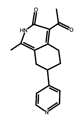 CC(=O)c1c2c(c(C)[nH]c1=O)CC(c1ccncc1)CC2